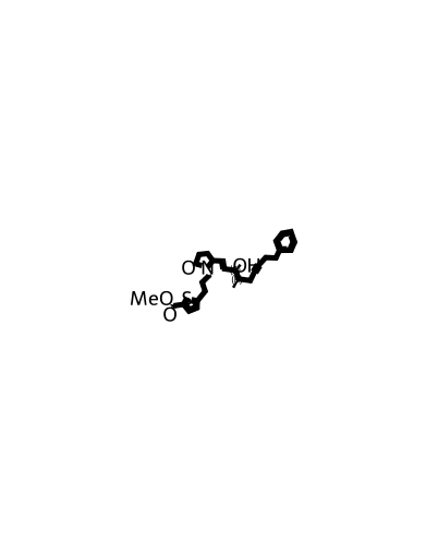 COC(=O)c1ccc(CCCN2C(=O)CCC2C=C[C@@H](O)[C@H](C)CC#CCCc2ccccc2)s1